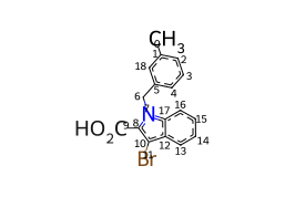 Cc1cccc(Cn2c(C(=O)O)c(Br)c3ccccc32)c1